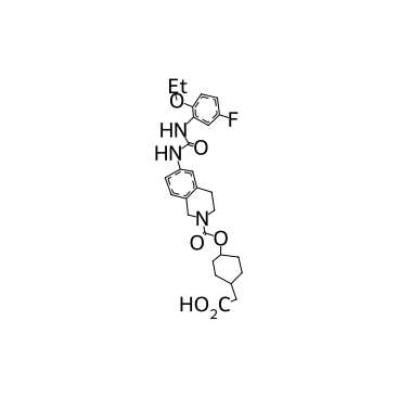 CCOc1ccc(F)cc1NC(=O)Nc1ccc2c(c1)CCN(C(=O)OC1CCC(CC(=O)O)CC1)C2